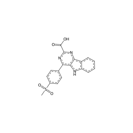 CS(=O)(=O)c1ccc(-c2nc(C(=O)O)nc3c2[nH]c2ccccc23)cc1